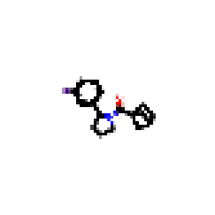 O=C(N1CCCC1c1cccc(I)c1)C12CCC(C1)C2